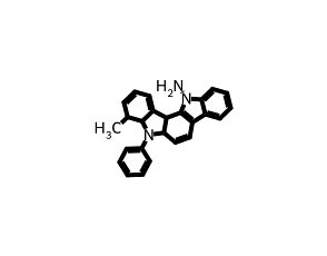 CC1C=CC=C2C3c4c(c5ccccc5n4N)C=CC3N(c3ccccc3)C21